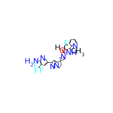 CC(C)(NC(=O)N1CC2(CCn3nc(-c4cnc(N)c(C(F)(F)F)c4)cc32)C1)c1ncccc1F